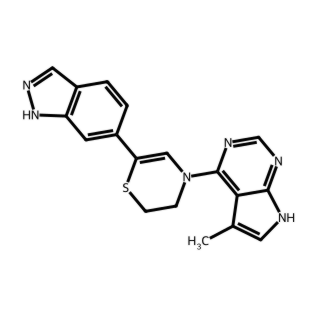 Cc1c[nH]c2ncnc(N3C=C(c4ccc5cn[nH]c5c4)SCC3)c12